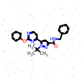 CC(C)(C)n1nc(C(=O)NCc2ccccc2)cc1-c1ccnc(Oc2ccccc2)n1